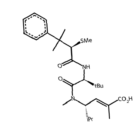 CS[C@@H](C(=O)N[C@H](C(=O)N(C)[C@H](/C=C(\C)C(=O)O)C(C)C)C(C)(C)C)C(C)(C)c1ccccc1